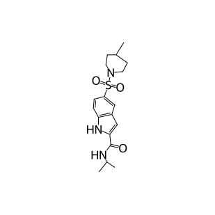 CC1CCN(S(=O)(=O)c2ccc3[nH]c(C(=O)NC(C)C)cc3c2)CC1